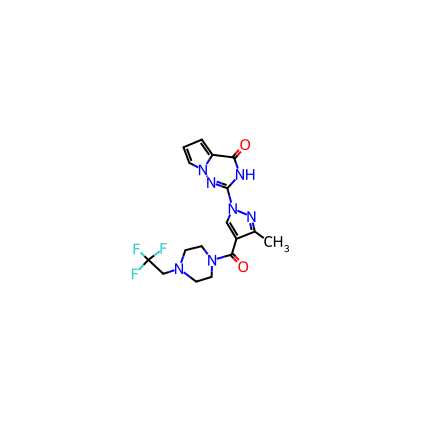 Cc1nn(-c2nn3cccc3c(=O)[nH]2)cc1C(=O)N1CCN(CC(F)(F)F)CC1